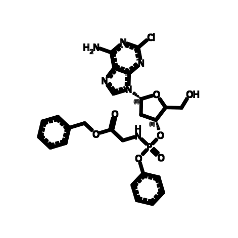 Nc1nc(Cl)nc2c1ncn2[C@H]1C[C@@H](OP(=O)(NCC(=O)OCc2ccccc2)Oc2ccccc2)C(CO)O1